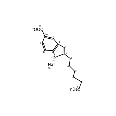 CCCCCCCCCCCCCCCc1cc2cc(C(=O)[O-])ccc2[nH]1.[Na+]